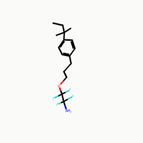 CCC(C)(C)c1ccc(CCCOC(F)(F)C(N)(F)F)cc1